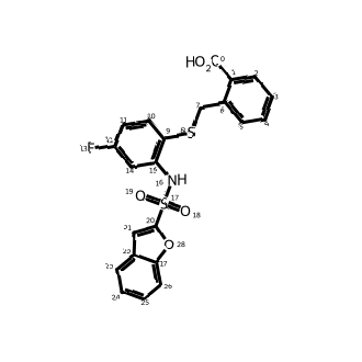 O=C(O)c1ccccc1CSc1ccc(F)cc1NS(=O)(=O)c1cc2ccccc2o1